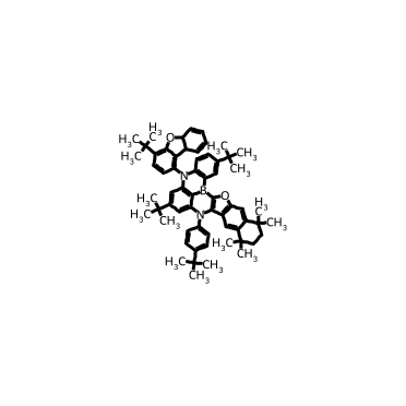 CC(C)(C)c1ccc(N2c3cc(C(C)(C)C)cc4c3B(c3cc(C(C)(C)C)ccc3N4c3ccc(C(C)(C)C)c4c3C3C=CC=CC3O4)c3oc4cc5c(cc4c32)C(C)(C)CCC5(C)C)cc1